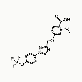 COc1cc(OCc2ncn(-c3ccc(OC(F)(F)F)cc3)n2)ccc1C(=O)O